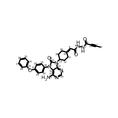 CC#CC(=O)NNC(=O)C=C1CCC(n2c(=O)n(-c3ccc(Oc4ccccc4)cc3)c3c(N)ncnc32)CC1